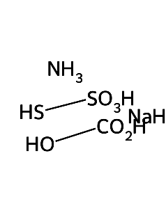 N.O=C(O)O.O=S(=O)(O)S.[NaH]